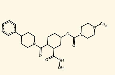 CN1CCN(C(=O)OC2CCC(C(=O)N3CCC(c4ccccc4)CC3)C(C(=O)NO)C2)CC1